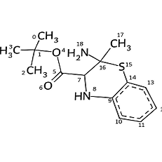 CC(C)(C)OC(=O)C1Nc2ccccc2SC1(C)N